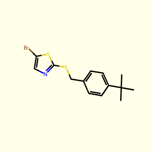 CC(C)(C)c1ccc(CSc2ncc(Br)s2)cc1